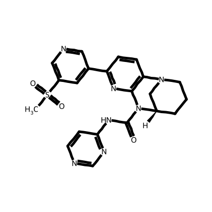 CS(=O)(=O)c1cncc(-c2ccc3c(n2)N(C(=O)Nc2ccncn2)[C@H]2CCCN3C2)c1